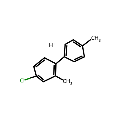 Cc1ccc(-c2ccc(Cl)cc2C)cc1.[H+]